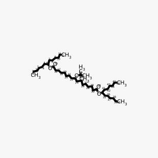 CCCCCCC(CCCCCC)OC(=O)CCCCCCCC(CCCCCCCC(=O)OC(CCCCCC)CCCCCC)OC(C)(C)C